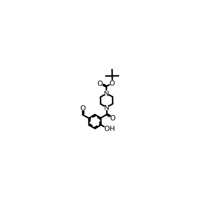 CC(C)(C)OC(=O)N1CCN(C(=O)c2cc(C=O)ccc2O)CC1